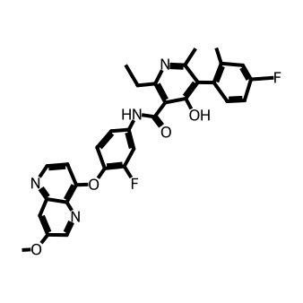 CCc1nc(C)c(-c2ccc(F)cc2C)c(O)c1C(=O)Nc1ccc(Oc2ccnc3cc(OC)cnc23)c(F)c1